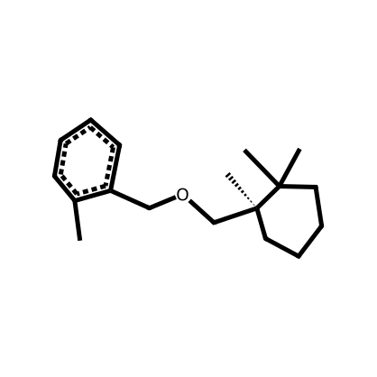 Cc1ccccc1COC[C@]1(C)CCCCC1(C)C